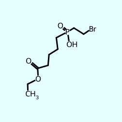 CCOC(=O)CCCCP(=O)(O)CCBr